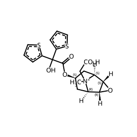 C[N+]1(CC(=O)O)[C@@H]2C[C@@H](OC(=O)C(O)(c3cccs3)c3cccs3)C[C@H]1[C@@H]1O[C@@H]12